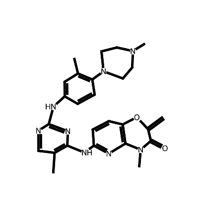 C=C1Oc2ccc(Nc3nc(Nc4ccc(N5CCN(C)CC5)c(C)c4)ncc3C)nc2N(C)C1=O